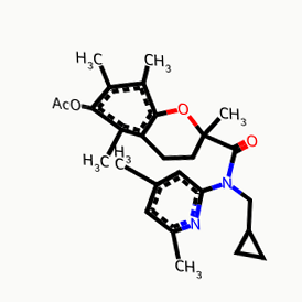 CC(=O)Oc1c(C)c(C)c2c(c1C)CCC(C)(C(=O)N(CC1CC1)c1cc(C)cc(C)n1)O2